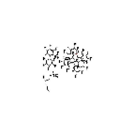 CCCCC(CC)CC[PH2+]C.Cc1c(F)c(F)c(F)c(C(F)(F)F)c1-c1c(F)c(F)c(F)c(F)c1F.Fc1ccc2c([B-](c3c(F)c(F)c(F)c4c(F)c(F)ccc34)(c3c(F)c(F)c(F)c4c(F)c(F)ccc34)c3c(F)c(F)c(F)c4c(F)c(F)ccc34)c(F)c(F)c(F)c2c1F